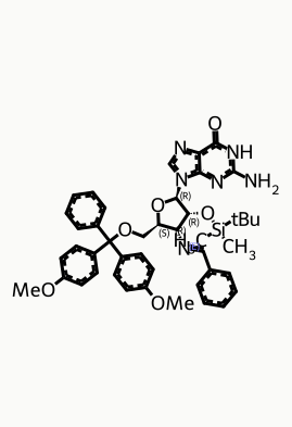 COc1ccc(C(OC[C@H]2O[C@@H](n3cnc4c(=O)[nH]c(N)nc43)[C@H](O[Si](C)(C)C(C)(C)C)[C@@H]2/N=C/c2ccccc2)(c2ccccc2)c2ccc(OC)cc2)cc1